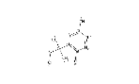 CC(C)(CCl)c1cc(C#N)nnc1Cl